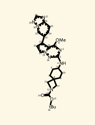 COc1nc(NC2CCC3(CC2)CN(C(=O)OC(C)(C)C)C3)nn2ccc(-c3ccc4ncnn4c3)c12